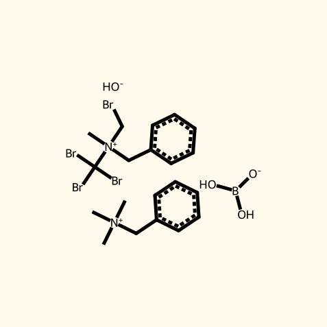 C[N+](C)(C)Cc1ccccc1.C[N+](CBr)(Cc1ccccc1)C(Br)(Br)Br.[O-]B(O)O.[OH-]